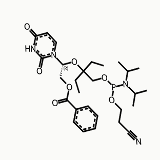 CCC(CC)(COP(OCCC#N)N(C(C)C)C(C)C)O[C@H](COC(=O)c1ccccc1)n1ccc(=O)[nH]c1=O